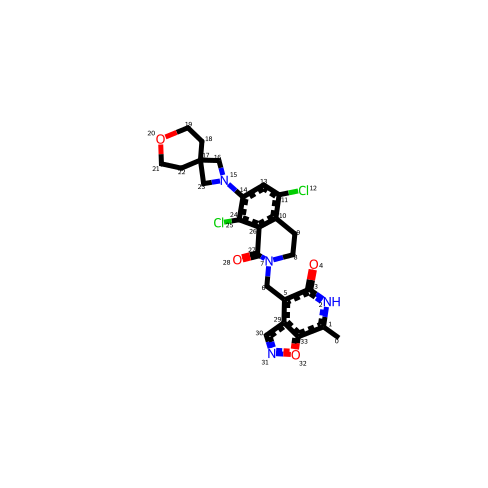 Cc1[nH]c(=O)c(CN2CCc3c(Cl)cc(N4CC5(CCOCC5)C4)c(Cl)c3C2=O)c2cnoc12